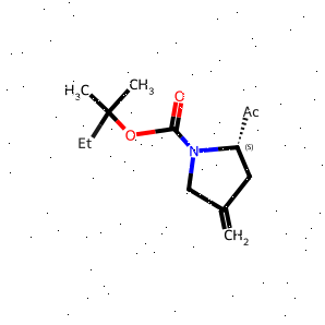 C=C1C[C@@H](C(C)=O)N(C(=O)OC(C)(C)CC)C1